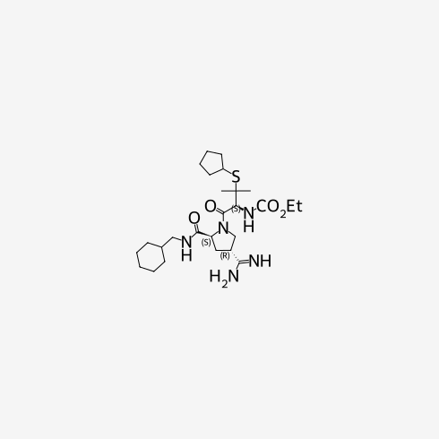 CCOC(=O)N[C@@H](C(=O)N1C[C@H](C(=N)N)C[C@H]1C(=O)NCC1CCCCC1)C(C)(C)SC1CCCC1